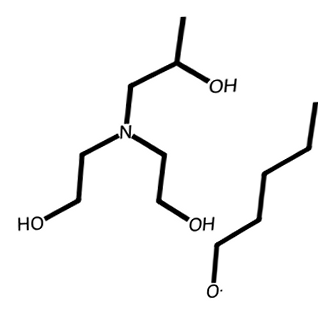 CC(O)CN(CCO)CCO.CCCCC[O]